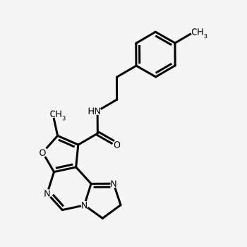 Cc1ccc(CCNC(=O)c2c(C)oc3c2C2=NCCN2C=N3)cc1